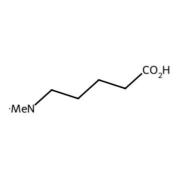 C[N]CCCCC(=O)O